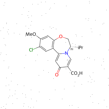 COc1cc2c(cc1Cl)-c1cc(=O)c(C(=O)O)cn1[C@@H](C(C)C)CO2